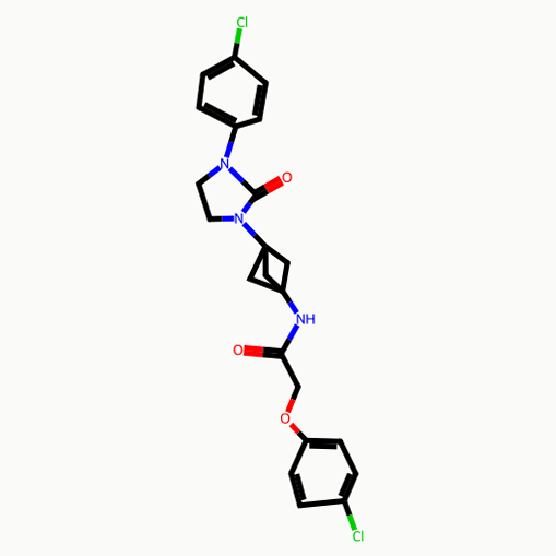 O=C(COc1ccc(Cl)cc1)NC12CC(N3CCN(c4ccc(Cl)cc4)C3=O)(C1)C2